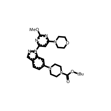 COc1nc(N2CCOCC2)cc(-n2ncc3ccc(N4CCN(C(=O)OC(C)(C)C)CC4)cc32)n1